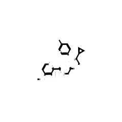 COc1ccnc(C(=O)N[C@@H](C)C(=O)O[C@@H](C)[C@H](Oc2ccc(C)cc2)C2CC2)c1O